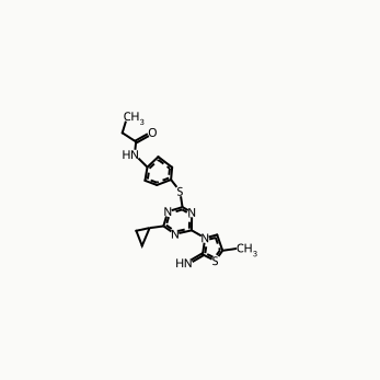 CCC(=O)Nc1ccc(Sc2nc(C3CC3)nc(-n3cc(C)sc3=N)n2)cc1